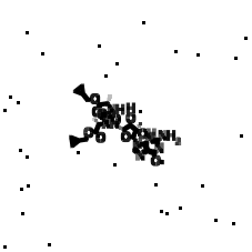 COc1nc(N)nc2c1ncn2[C@@H]1O[C@H](COP(=O)(N[C@@H](C)C(=O)OCC2CC2)N[C@@H](C)C(=O)OCC2CC2)[C@@H](O)[C@@]1(C)O